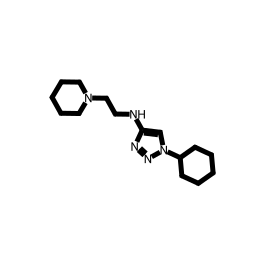 c1c(NCCN2CCCCC2)nnn1C1CCCCC1